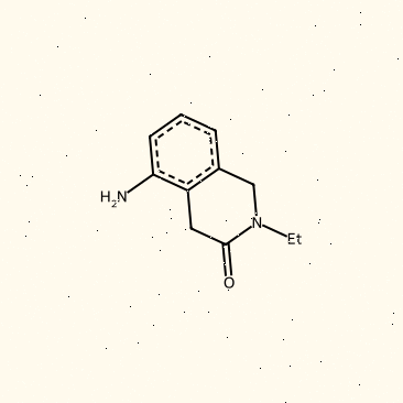 CCN1Cc2cccc(N)c2CC1=O